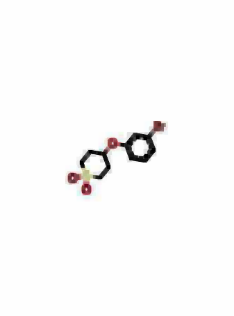 O=S1(=O)CCC(Oc2cccc(Br)c2)CC1